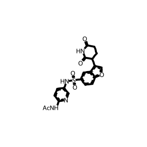 CC(=O)Nc1ccc(NS(=O)(=O)c2ccc3occ(C4CCC(=O)NC4=O)c3c2)cn1